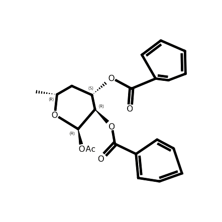 CC(=O)O[C@H]1O[C@H](C)C[C@H](OC(=O)c2ccccc2)[C@H]1OC(=O)c1ccccc1